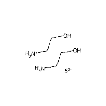 [NH3+]CCO.[NH3+]CCO.[S-2]